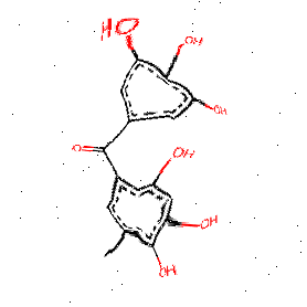 Cc1cc(C(=O)c2cc(O)c(O)c(O)c2)c(O)c(O)c1O